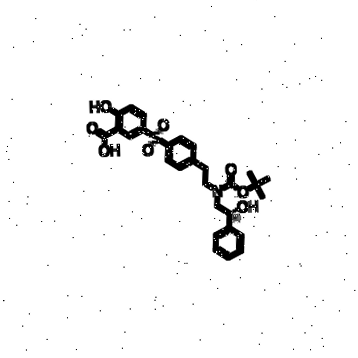 CC(C)(C)OC(=O)N(CCc1ccc(S(=O)(=O)c2ccc(O)c(C(=O)O)c2)cc1)C[C@H](O)c1ccccc1